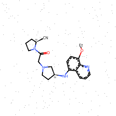 CCOc1ccc(N[C@H]2CCN(CC(=O)N3CCC[C@H]3C#N)C2)c2cccnc12